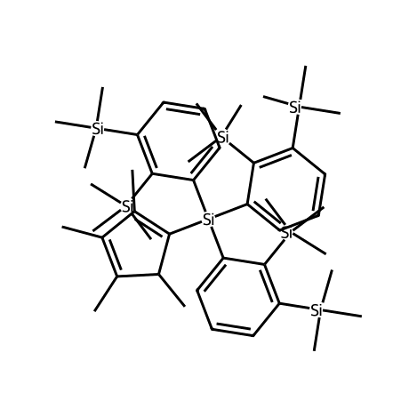 CC1=C(C)C(C)C([Si](c2cccc([Si](C)(C)C)c2[Si](C)(C)C)(c2cccc([Si](C)(C)C)c2[Si](C)(C)C)c2cccc([Si](C)(C)C)c2[Si](C)(C)C)=C1C